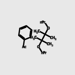 CC(=O)c1ccccc1.CCCOC(C)(C)C(C)(C)OCCC